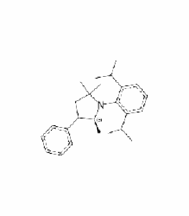 CC(C)c1cccc(C(C)C)c1N1[C@@H](C)C(c2ccccc2)CC1(C)C